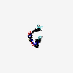 O=C(Nc1ccccc1-c1ccc(F)cc1)c1csc(C2CCN(C(=O)CCc3ccc(F)c(F)c3)CC2)n1